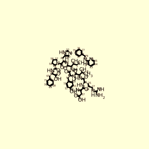 CC[C@H](C)[C@H](NC(=O)[C@H](Cc1ccc(O)cc1)NC(=O)[C@@H](NC(=O)[C@H](CCCNC(=N)N)NC(=O)[C@@H](N)CC(=O)O)C(C)C)C(=O)N[C@@H](Cc1cnc[nH]1)C(=O)N1CCC[C@H]1C(=O)N[C@@H](Cc1ccccc1)C(=O)O.c1ccc(CNc2ccccn2)cc1